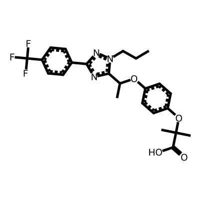 CCCn1nc(-c2ccc(C(F)(F)F)cc2)nc1C(C)Oc1ccc(OC(C)(C)C(=O)O)cc1